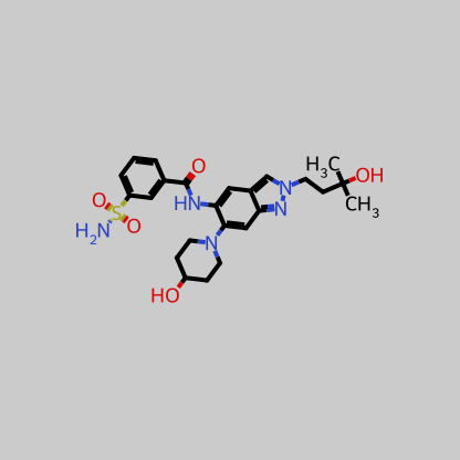 CC(C)(O)CCn1cc2cc(NC(=O)c3cccc(S(N)(=O)=O)c3)c(N3CCC(O)CC3)cc2n1